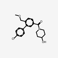 COCc1ccc(C(=O)N2CCC(O)CC2)cc1-c1ccc(Cl)cc1